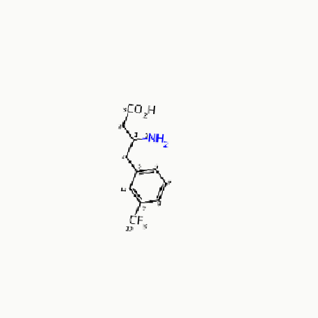 NC(CC(=O)O)Cc1cccc(C(F)(F)F)c1